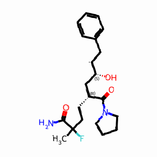 CC(F)(CC[C@H](C[C@@H](O)[CH]Cc1ccccc1)C(=O)N1CCCC1)C(N)=O